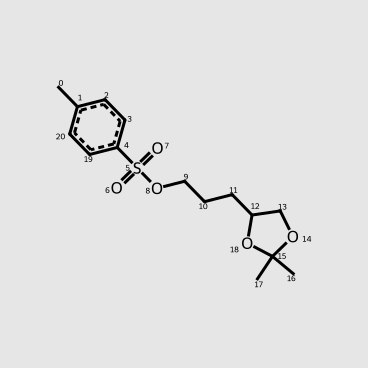 Cc1ccc(S(=O)(=O)OCCCC2COC(C)(C)O2)cc1